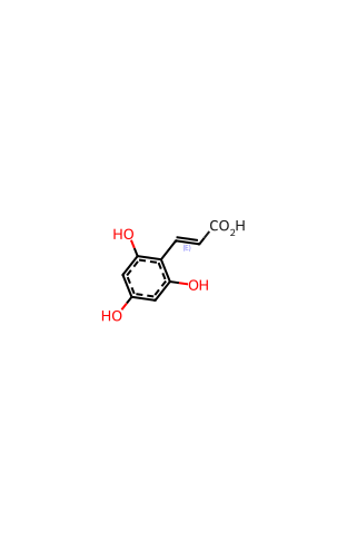 O=C(O)/C=C/c1c(O)cc(O)cc1O